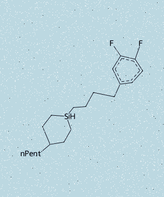 CCCCCC1CC[SiH](CCCCc2ccc(F)c(F)c2)CC1